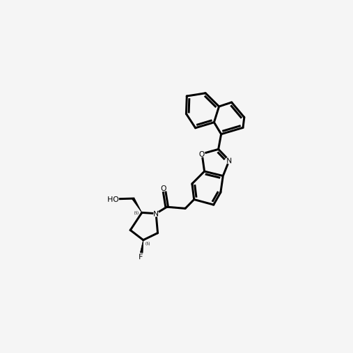 O=C(Cc1ccc2nc(-c3cccc4ccccc34)oc2c1)N1C[C@@H](F)C[C@H]1CO